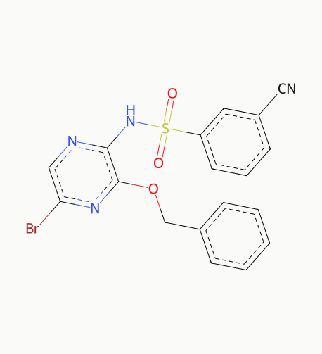 N#Cc1cccc(S(=O)(=O)Nc2ncc(Br)nc2OCc2ccccc2)c1